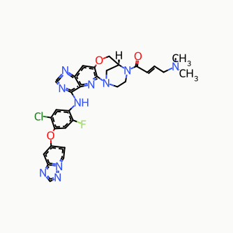 CN(C)C/C=C/C(=O)N1CCN2C[C@@H]1COc1cc3ncnc(Nc4cc(Cl)c(Oc5ccn6ncnc6c5)cc4F)c3nc12